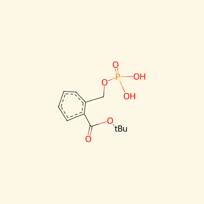 CC(C)(C)OC(=O)c1ccccc1COP(=O)(O)O